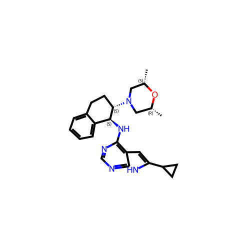 C[C@@H]1CN([C@H]2CCc3ccccc3[C@@H]2Nc2ncnc3[nH]c(C4CC4)cc23)C[C@H](C)O1